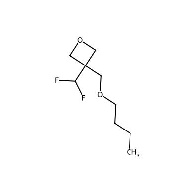 CCCCOCC1(C(F)F)COC1